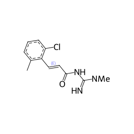 CNC(=N)NC(=O)/C=C/c1c(C)cccc1Cl